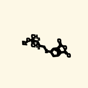 CCO[Si](C)(C)CCCSC1CC2CC1C1C(=O)OC(=O)C21